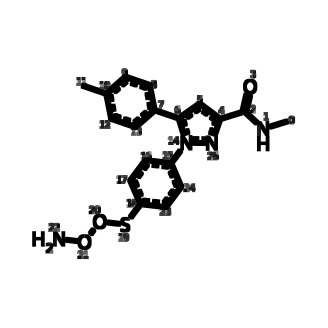 CNC(=O)c1cc(-c2ccc(C)cc2)n(-c2ccc(SOON)cc2)n1